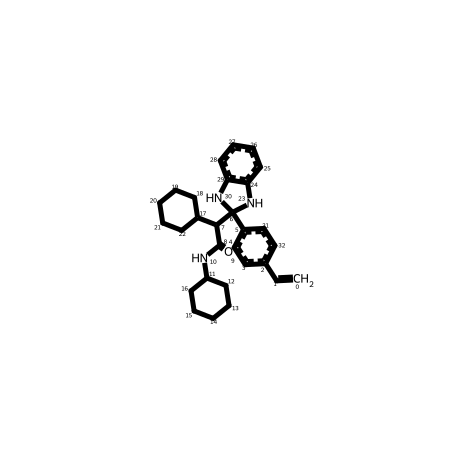 C=Cc1ccc(C2(C(C(=O)NC3CCCCC3)C3CCCCC3)Nc3ccccc3N2)cc1